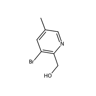 Cc1cnc(CO)c(Br)c1